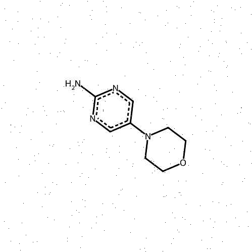 Nc1ncc(N2CCOCC2)cn1